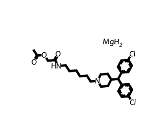 CC(=O)OCC(=O)NCCCCCCN1CCC(C(c2ccc(Cl)cc2)c2ccc(Cl)cc2)CC1.[MgH2]